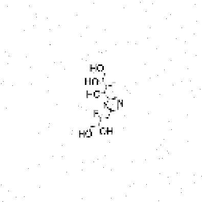 OC[C@@H](O)[C@@H](F)[C@H](O)c1cncc(C[C@H](F)[C@H](O)CO)n1